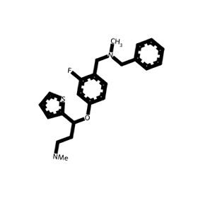 CNCCC(Oc1ccc(CN(C)Cc2ccccc2)c(F)c1)c1cccs1